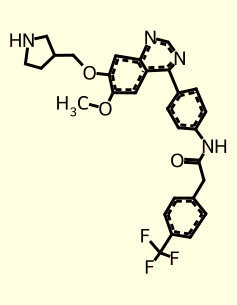 COc1cc2c(-c3ccc(NC(=O)Cc4ccc(C(F)(F)F)cc4)cc3)ncnc2cc1OCC1CCNC1